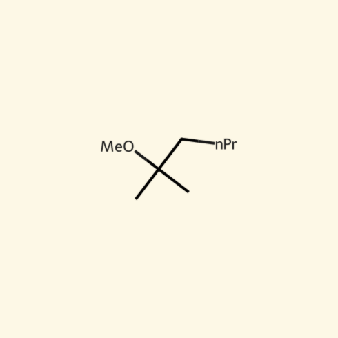 [CH2]OC(C)(C)CCCC